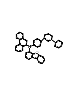 c1ccc(-c2cccc(-c3ccc(N(c4cc5ccccc5c5ccccc45)c4cccc5c4oc4ccccc45)cc3)c2)cc1